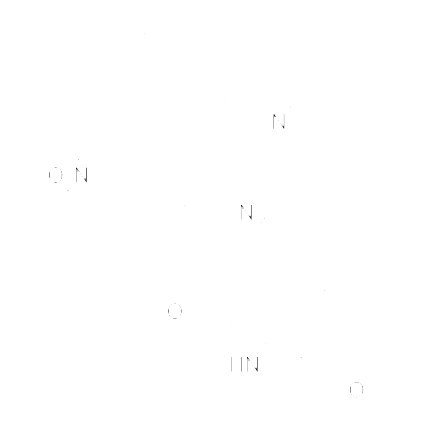 O=C1CC(N2C=Nc3cccc([N+](=O)[O-])c3C2)C(=O)N1